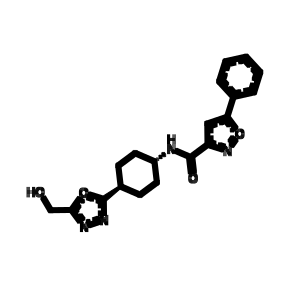 O=C(N[C@H]1CC[C@H](c2nnc(CO)o2)CC1)c1cc(-c2ccccc2)on1